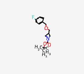 CC(C)(C)OC(=O)N1CC(COCc2ccc(F)cc2)C1